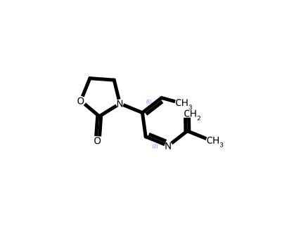 C=C(C)/N=C\C(=C/C)N1CCOC1=O